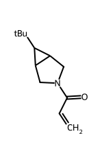 C=CC(=O)N1CC2C(C1)C2C(C)(C)C